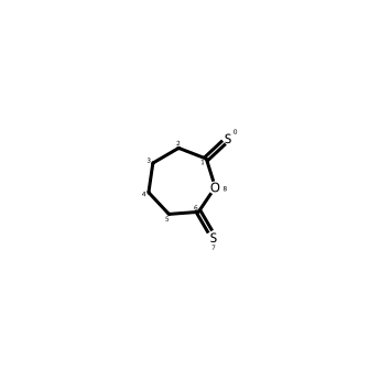 S=C1CCCCC(=S)O1